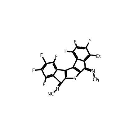 CCc1c(F)c(F)c(F)c2c1/c(=N/C#N)c1sc3/c(=N/C#N)c4c(F)c(F)c(F)c(F)c4c3c12